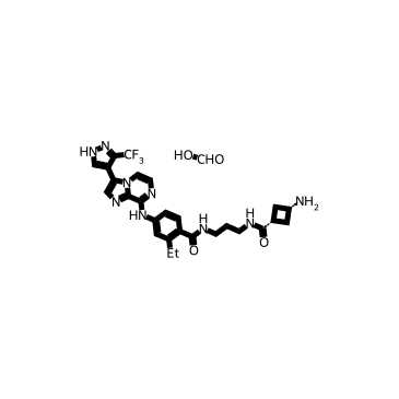 CCc1cc(Nc2nccn3c(-c4c[nH]nc4C(F)(F)F)cnc23)ccc1C(=O)NCCCNC(=O)[C@H]1C[C@@H](N)C1.O=CO